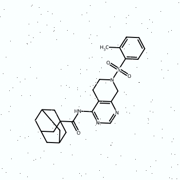 Cc1ccccc1S(=O)(=O)N1CCc2c(ncnc2NC(=O)C23CC4CC(CC(C4)C2)C3)C1